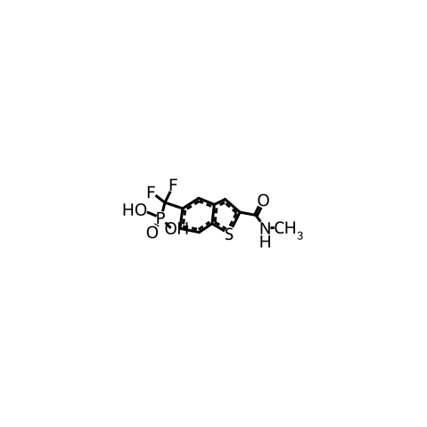 CNC(=O)c1cc2cc(C(F)(F)P(=O)(O)O)ccc2s1